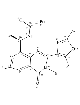 Cc1cc([C@@H](C)N[S@+]([O-])C(C)(C)C)c2nc(-c3nc(C)oc3C)n(C)c(=O)c2c1